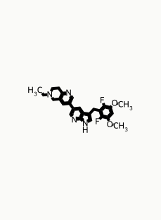 CCN1CCc2ncc(-c3cnc4[nH]cc(Cc5c(F)c(OC)cc(OC)c5F)c4c3)cc2C1